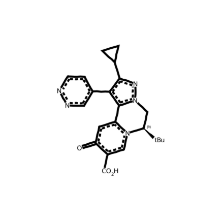 CC(C)(C)[C@@H]1Cn2nc(C3CC3)c(-c3ccnnc3)c2-c2cc(=O)c(C(=O)O)cn21